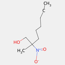 CCCCCCC(C)(CO)[N+](=O)[O-]